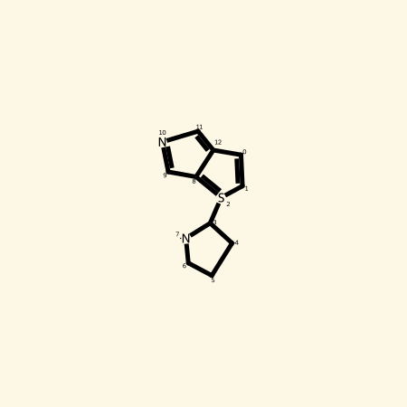 C1=CS(C2CCC[N]2)=C2C=NC=C12